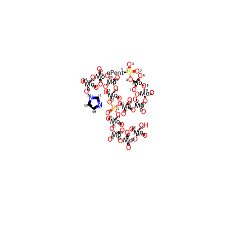 CCCCCS(=O)(=O)[O][Mo](=[O])(=[O])[O][Mo](=[O])(=[O])[O][Mo](=[O])(=[O])[O][Mo](=[O])(=[O])[O]P(=O)([O][Mo](=[O])(=[O])[O][Mo](=[O])(=[O])[O][Mo](=[O])(=[O])[O][Mo](=[O])(=[O])[OH])[O][Mo](=[O])(=[O])[O][Mo](=[O])(=[O])[O][Mo](=[O])(=[O])[O][Mo](=[O])(=[O])[O]n1ccnc1